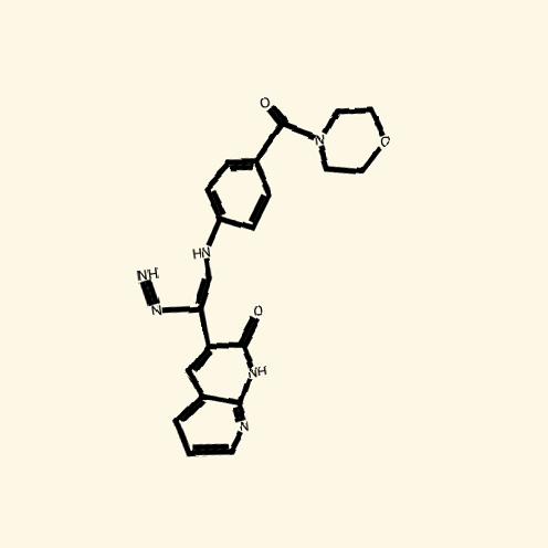 N=N/C(=C\Nc1ccc(C(=O)N2CCOCC2)cc1)c1cc2cccnc2[nH]c1=O